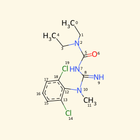 CCN(CC)C(=O)NC(=N)N(C)c1c(Cl)cccc1Cl